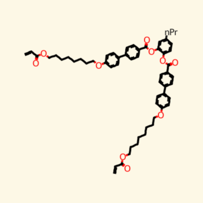 C=CC(=O)OCCCCCCCCOc1ccc(-c2ccc(C(=O)Oc3ccc(CCC)cc3OC(=O)c3ccc(-c4ccc(OCCCCCCCCOC(=O)C=C)cc4)cc3)cc2)cc1